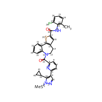 CSn1ncc(-c2cccc(C(=O)N3CCc4cc(C(=O)Nc5c(C)cccc5F)sc4-c4ccccc43)n2)c1C1CC1